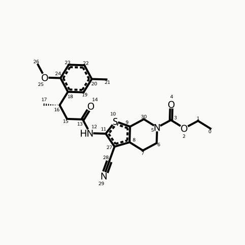 CCOC(=O)N1CCc2c(sc(NC(=O)C[C@H](C)c3cc(C)ccc3OC)c2C#N)C1